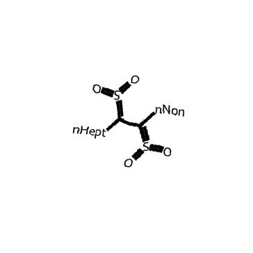 CCCCCCCCCC(C(CCCCCCC)=S(=O)=O)=S(=O)=O